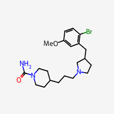 COc1ccc(Br)c(CC2CCN(CCCC3CCN(C(N)=O)CC3)C2)c1